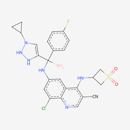 BC(Nc1cc(Cl)c2ncc(C#N)c(NC3CS(=O)(=O)C3)c2c1)(C1=CN(C2CC2)NN1)c1ccc(F)cc1